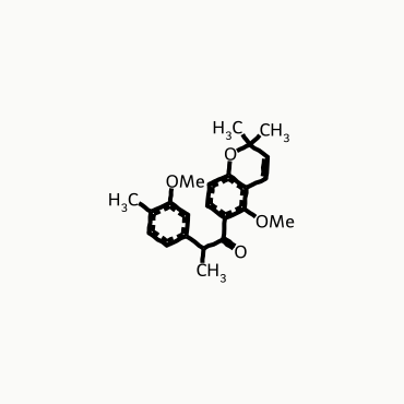 COc1cc(C(C)C(=O)c2ccc3c(c2OC)C=CC(C)(C)O3)ccc1C